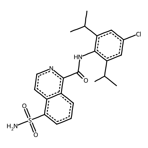 CC(C)c1cc(Cl)cc(C(C)C)c1NC(=O)c1nccc2c(S(N)(=O)=O)cccc12